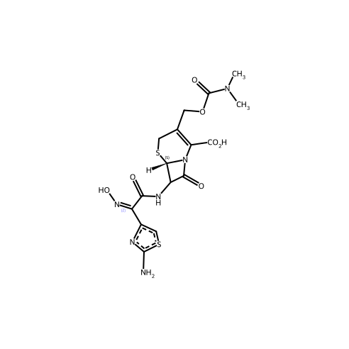 CN(C)C(=O)OCC1=C(C(=O)O)N2C(=O)C(NC(=O)/C(=N\O)c3csc(N)n3)[C@@H]2SC1